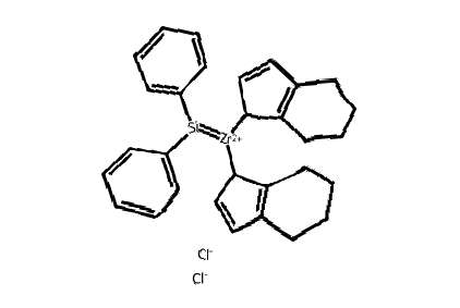 C1=C[CH]([Zr+2]([CH]2C=CC3=C2CCCC3)=[Si](c2ccccc2)c2ccccc2)C2=C1CCCC2.[Cl-].[Cl-]